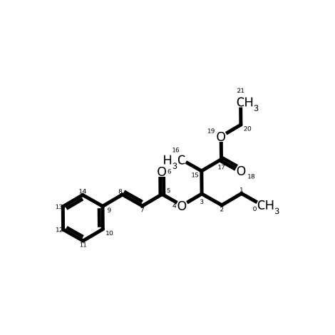 CCCC(OC(=O)C=Cc1ccccc1)C(C)C(=O)OCC